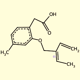 C=C/C(=C\C)COc1cc(C)ccc1CC(=O)O